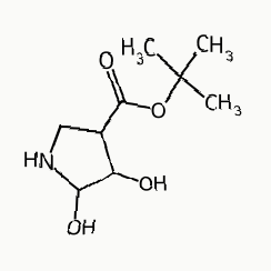 CC(C)(C)OC(=O)C1CNC(O)C1O